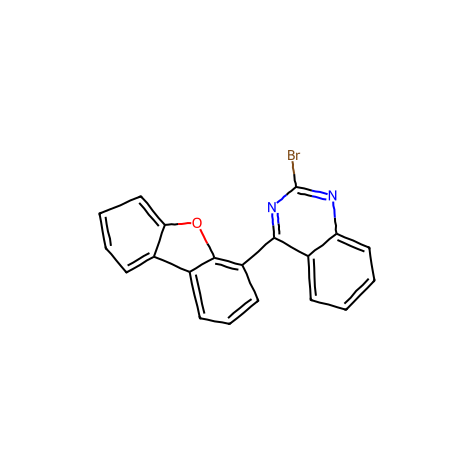 Brc1nc(-c2cccc3c2oc2ccccc23)c2ccccc2n1